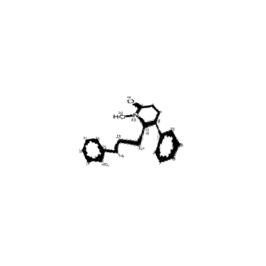 O=C1CC[C@@H](c2ccccc2)[C@@H](CCCc2ccccc2)N1O